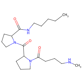 CCCCCNC(=O)C1CCCN1C(=O)C1CCCN1C(=O)CCCNC